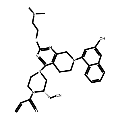 C=CC(=O)N1CCN(c2nc(OCCN(C)C)nc3c2CCN(c2cc(O)cc4ccccc24)C3)C[C@@H]1CC#N